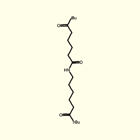 CCCCC(=O)CCCCCNC(=O)CCCCC(=O)C(C)CC